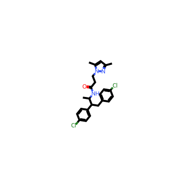 Cc1cc(C)n(CCC(=O)NC(C)C(Cc2ccc(Cl)cc2)c2ccc(Cl)cc2)n1